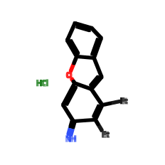 CCc1c2cc3ccccc3oc-2cc(=N)c1CC.Cl